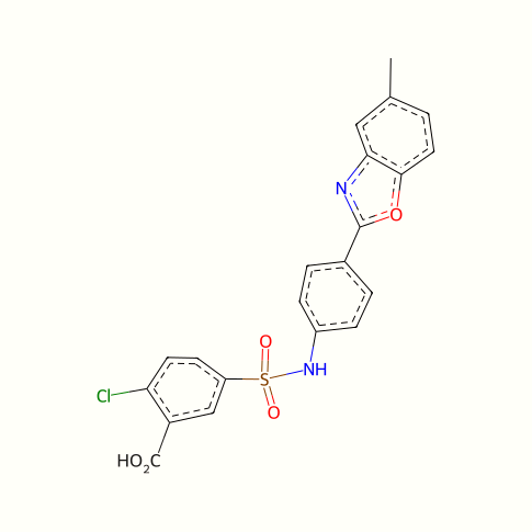 Cc1ccc2oc(-c3ccc(NS(=O)(=O)c4ccc(Cl)c(C(=O)O)c4)cc3)nc2c1